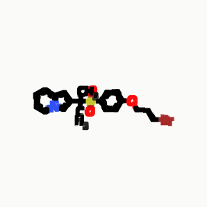 CC(C)(c1cc2ccccn2c1)S(=O)(=O)c1ccc(OCCCBr)cc1